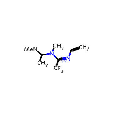 C=C/N=C(\N(C)C(C)NC)C(F)(F)F